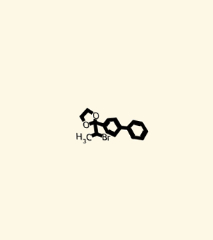 CC(Br)C1(c2ccc(-c3ccccc3)cc2)OCCO1